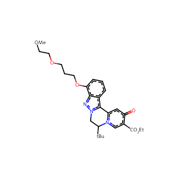 CCOC(=O)c1cn2c(cc1=O)-c1c3cccc(OCCCOCCOC)c3nn1CC2C(C)(C)C